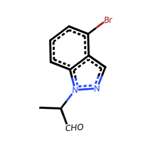 CC(C=O)n1ncc2c(Br)cccc21